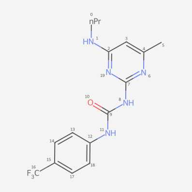 CCCNc1cc(C)nc(NC(=O)Nc2ccc(C(F)(F)F)cc2)n1